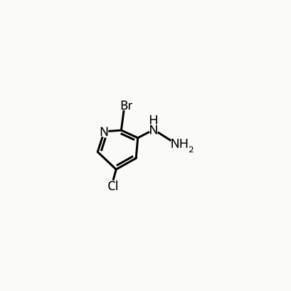 NNc1cc(Cl)cnc1Br